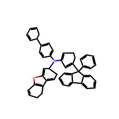 C1=CCC(c2ccc(N(C3=CCCC(C4(c5ccccc5)c5ccccc5-c5ccccc54)=C3)C3C=c4oc5c(c4=CC3)CCC=C5)cc2)C=C1